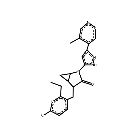 CCc1nc(Cl)ccc1CC1C(=O)N(c2cc(-c3cnncc3C)n[nH]2)C2CC12